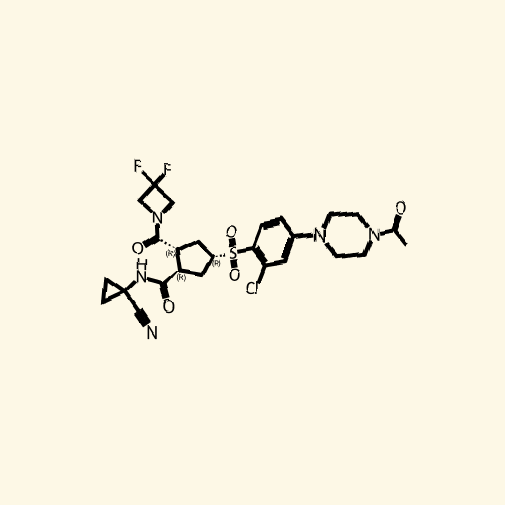 CC(=O)N1CCN(c2ccc(S(=O)(=O)[C@@H]3C[C@@H](C(=O)NC4(C#N)CC4)[C@H](C(=O)N4CC(F)(F)C4)C3)c(Cl)c2)CC1